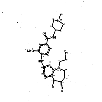 COc1cc(C(=O)NC2CCN(C)CC2)ccc1Nc1ncc2c(n1)N(CCC(C)C)CCC(=O)N2C